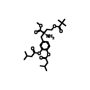 COC(=O)[C@@](N)(CCOC(=O)C(C)(C)C)Cc1ccc(OC(=O)CC(C)C)c(OC(=O)CC(C)C)c1